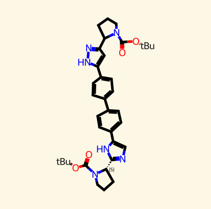 CC(C)(C)OC(=O)N1CCCC1c1cc(-c2ccc(-c3ccc(-c4cnc([C@@H]5CCCN5C(=O)OC(C)(C)C)[nH]4)cc3)cc2)[nH]n1